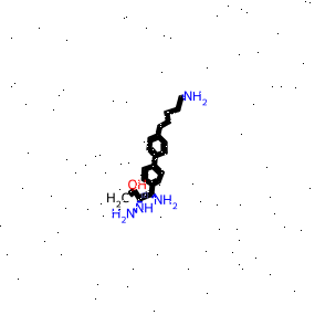 C=C(O)/C(NN)=C(/N)c1ccc(-c2ccc(CCCCCN)cc2)cc1